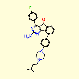 CC(C)CCN1CCN(c2ccc(-c3cccc4c3-c3nc(N)nc(-c5ccc(F)cc5)c3C4=O)cc2)CC1